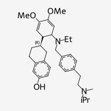 CCN(Cc1ccc(CCN(C)C(C)C)cc1)C1C=C(OC)C(OC)=CC1[C@@H]1CCc2cc(O)ccc2C1